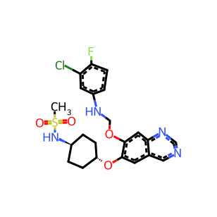 CS(=O)(=O)N[C@H]1CC[C@H](Oc2cc3cncnc3cc2OCNc2ccc(F)c(Cl)c2)CC1